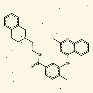 Cc1cc(Nc2cc(C(=O)NCCN3CCc4ccccc4C3)ccc2C)c2ccccc2n1